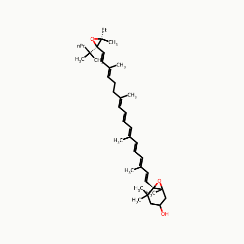 CCCC(C)(C)[C@]1(/C=C/C(C)=C/CC/C(C)=C/C=C/C=C(C)/C=C/C=C(C)/C=C/[C@@]23O[C@]2(C)CC(O)CC3(C)C)O[C@]1(C)CC